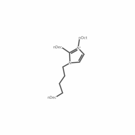 CCCCCCCCCCCCCCn1cc[n+](CCCCCCCC)c1CCCCCCCCCC